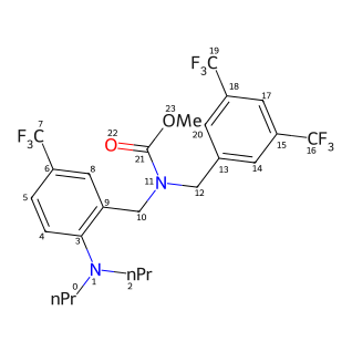 CCCN(CCC)c1ccc(C(F)(F)F)cc1CN(Cc1cc(C(F)(F)F)cc(C(F)(F)F)c1)C(=O)OC